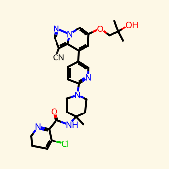 CC(C)(O)COc1cc(-c2ccc(N3CCC(C)(NC(=O)C4=NCCC=C4Cl)CC3)nc2)c2c(C#N)cnn2c1